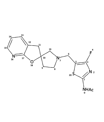 CC(=O)Nc1nc(F)c(CN2CCC3(Cc4cccnc4O3)C2)s1